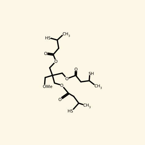 COCC(COC(=O)CC(C)S)(COC(=O)CC(C)S)COC(=O)CC(C)S